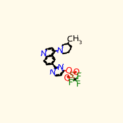 CC1CCCN(c2ccnc3ccc(-c4nccc(OS(=O)(=O)C(F)(F)F)n4)cc23)C1